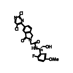 COc1ccc(F)c([C@@H](CO)NC(=O)CN2Cc3ccc(-c4nc(Cl)ncc4Cl)cc3C2=O)c1